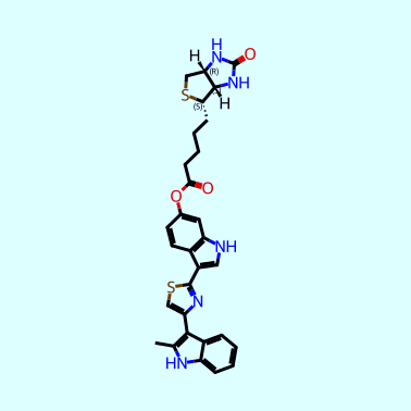 Cc1[nH]c2ccccc2c1-c1csc(-c2c[nH]c3cc(OC(=O)CCCC[C@@H]4SC[C@@H]5NC(=O)N[C@@H]54)ccc23)n1